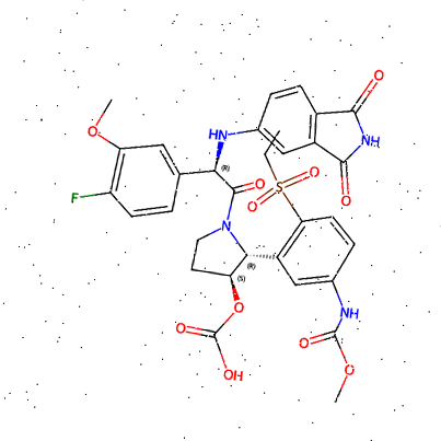 CCS(=O)(=O)c1ccc(NC(=O)OC)cc1[C@@H]1[C@@H](OC(=O)O)CCN1C(=O)[C@H](Nc1ccc2c(c1)C(=O)NC2=O)c1ccc(F)c(OC)c1